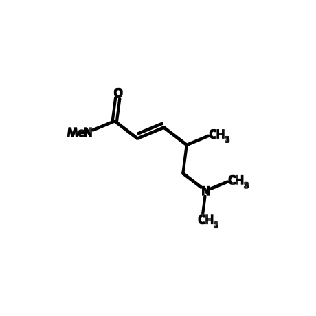 CNC(=O)C=CC(C)CN(C)C